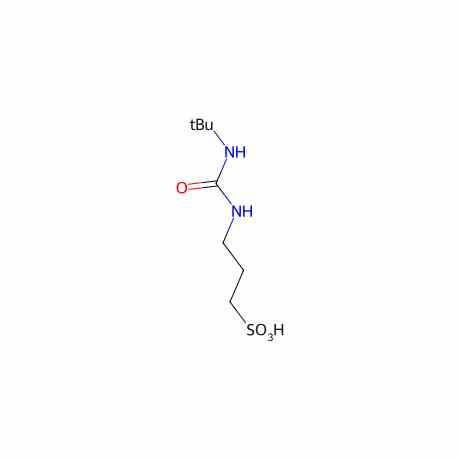 CC(C)(C)NC(=O)NCCCS(=O)(=O)O